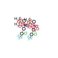 COC(=O)C(C)(OC(=O)c1cc(-c2ccc(C(F)(F)F)cc2Cl)ccc1[N+](=O)[O-])c1ccccc1.COC(=O)C(C)(OC(=O)c1cc(-c2ccc(C(F)(F)F)cc2Cl)ccc1[N+](=O)[O-])c1ccccc1.O